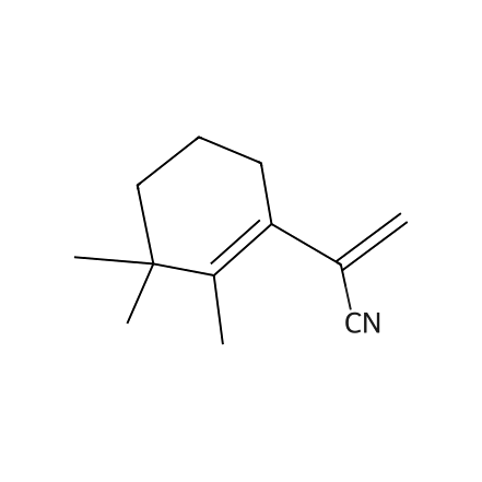 C=C(C#N)C1=C(C)C(C)(C)CCC1